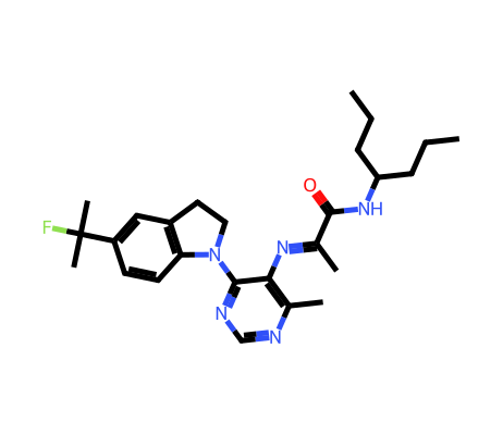 CCCC(CCC)NC(=O)/C(C)=N/c1c(C)ncnc1N1CCc2cc(C(C)(C)F)ccc21